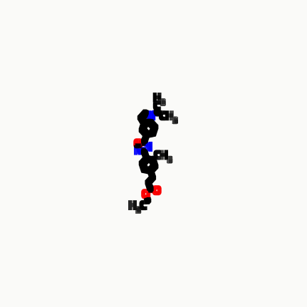 CCOC(=O)CCc1ccc(-c2noc(-c3ccc4c(ccn4C(C)C)c3)n2)c(C)c1